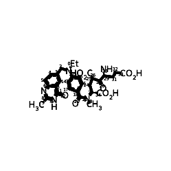 CCN(Cc1ccc2nc(C)[nH]c(=O)c2c1)c1ccc(C(=O)N(C)[C@@H](CC(C(=O)O)C(=O)[C@@H](N)CCC(=O)O)C(=O)O)cc1